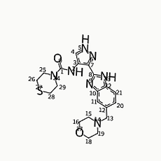 O=C(Nc1c[nH]nc1-c1nc2cc(CN3CCOCC3)ccc2[nH]1)N1CCSCC1